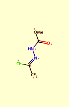 COC(=O)NN=C(Cl)C(F)(F)F